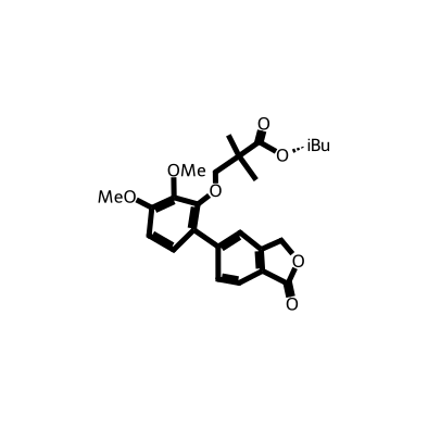 CC[C@@H](C)OC(=O)C(C)(C)COc1c(-c2ccc3c(c2)COC3=O)ccc(OC)c1OC